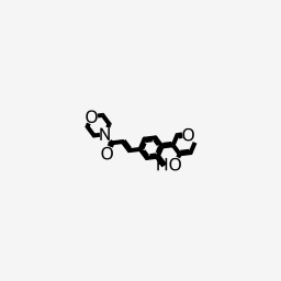 C=c1cc(/C=C/C(=O)N2CCOCC2)cc/c1=C(C=O)/C(O)=C\C